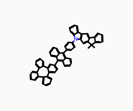 CC1(C)c2ccccc2-c2cc3c4ccccc4n(-c4ccc(-c5c6ccccc6c(-c6ccc7c(c6)-c6ccccc6-c6ccccc6-c6ccccc6-7)c6ccccc56)cc4)c3cc21